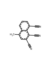 Cc1cc(C#N)c(C#N)c2c(C#N)cccc12